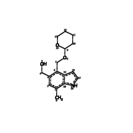 Cc1cc(CO)c(COC2CCCCO2)c2cc[nH]c12